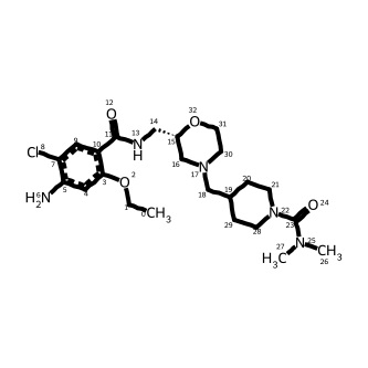 CCOc1cc(N)c(Cl)cc1C(=O)NC[C@H]1CN(CC2CCN(C(=O)N(C)C)CC2)CCO1